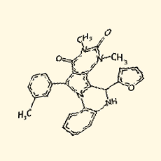 Cc1cccc(-c2c3c(=O)n(C)c(=O)n(C)c3c3n2-c2ccccc2NC3c2ccco2)c1